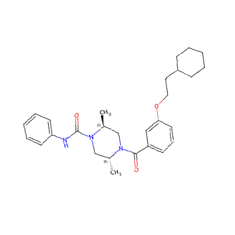 C[C@@H]1CN(C(=O)Nc2ccccc2)[C@@H](C)CN1C(=O)c1cccc(OCCC2CCCCC2)c1